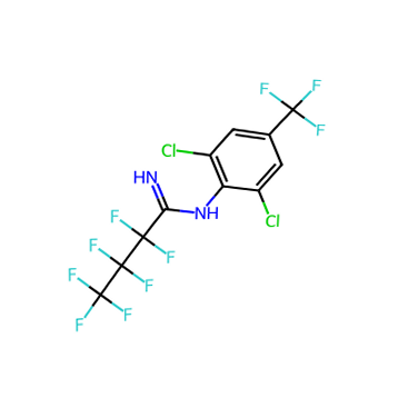 N=C(Nc1c(Cl)cc(C(F)(F)F)cc1Cl)C(F)(F)C(F)(F)C(F)(F)F